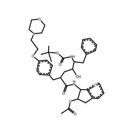 CC(=O)OC1Cc2ccccc2C1NC(=O)C(Cc1ccc(OCCN2CCOCC2)cc1)CC(O)C(Cc1ccccc1)NC(=O)OC(C)(C)C